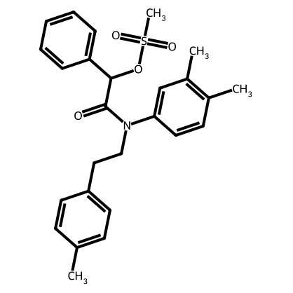 Cc1ccc(CCN(C(=O)C(OS(C)(=O)=O)c2ccccc2)c2ccc(C)c(C)c2)cc1